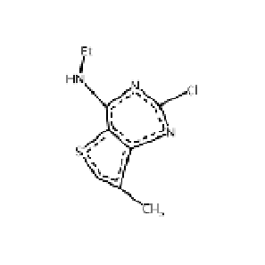 CCNc1nc(Cl)nc2c(C)csc12